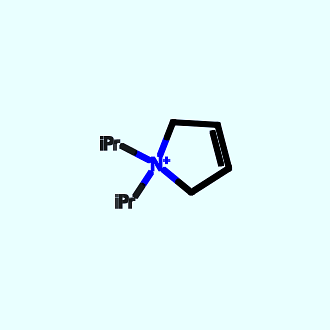 CC(C)[N+]1(C(C)C)CC=CC1